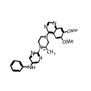 COc1cc2ncnc(N3CCN(c4ncc(Nc5ccccc5)cn4)[C@H](C)C3)c2cc1OC